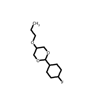 CCCOC1COC(C2CCC(F)CC2)OC1